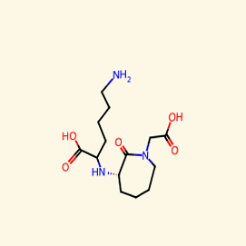 NCCCCC(N[C@H]1CCCCN(CC(=O)O)C1=O)C(=O)O